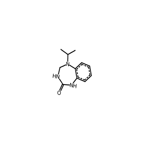 CC(C)N1CNC(=O)Nc2ccccc21